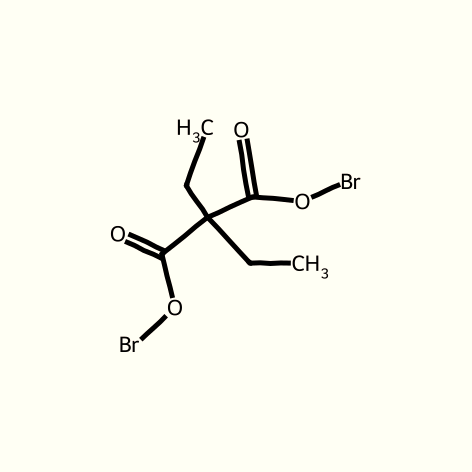 CCC(CC)(C(=O)OBr)C(=O)OBr